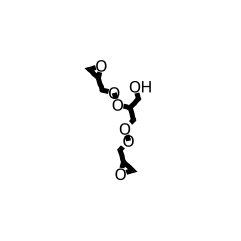 OCC(COOCC1CO1)OOCC1CO1